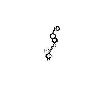 c1cc(NCCOc2ccc3c(c2)CCC(CN2CCCC2)C3)ncn1